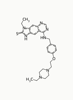 CCN1CCN(CCOc2ccc(CNc3ncnc4cc5c(cc34)[nH]c(=S)n5CC)cc2)CC1